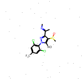 CN=C(C)c1nn(-c2c(Cl)cc(C(F)(F)F)cc2Cl)c(N=O)c1[S+](C)[O-]